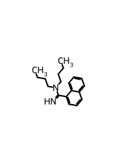 CCCCN(CCCC)C(=N)c1cccc2ccccc12